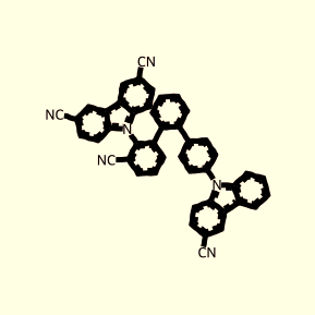 N#Cc1ccc2c(c1)c1ccccc1n2-c1ccc(-c2ccccc2-c2cccc(C#N)c2-n2c3ccc(C#N)cc3c3cc(C#N)ccc32)cc1